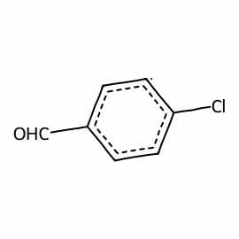 O=Cc1c[c]c(Cl)cc1